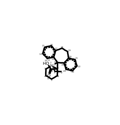 CC[N@+]12CCCCC1(C(=O)O)C21c2ccccc2CCc2ccccc21